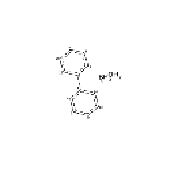 B.O.c1ccc(-c2ccccc2)cc1